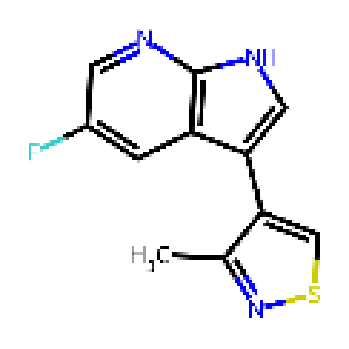 Cc1nscc1-c1c[nH]c2ncc(F)cc12